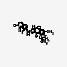 Cc1cc2c(c(OC(C)C)c1F)C(=O)N1C[C@@H](Nc3ncc4c(c3F)NC(=O)CC4)C[C@@H]1CO2